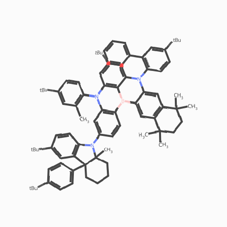 Cc1cc(C(C)(C)C)ccc1N1c2cc(N3c4ccc(C(C)(C)C)cc4C4(c5ccc(C(C)(C)C)cc5)CCCCC34C)ccc2B2c3cc4c(cc3N(c3ccc(C(C)(C)C)cc3-c3ccccc3)c3cc(C(C)(C)C)cc1c32)C(C)(C)CCC4(C)C